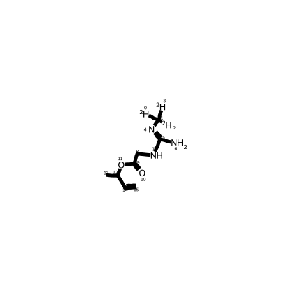 [2H]C([2H])([2H])N=C(N)NCC(=O)OC(C)C=C